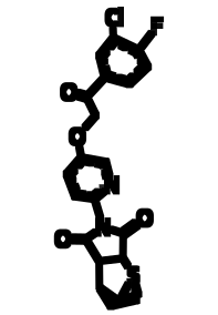 O=C(COc1ccc(N2C(=O)C3C4C=CS5(CC45)C3C2=O)nc1)c1ccc(F)c(Cl)c1